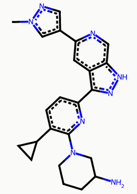 Cn1cc(-c2cc3c(-c4ccc(C5CC5)c(N5CCCC(N)C5)n4)n[nH]c3cn2)cn1